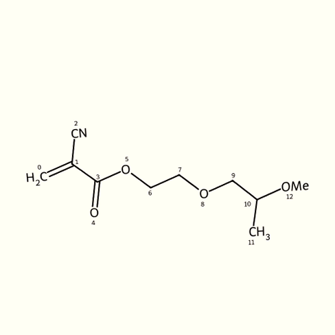 C=C(C#N)C(=O)OCCOCC(C)OC